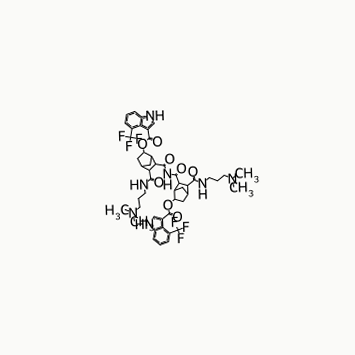 CN(C)CCCNC(=O)C1C2CC(OC(=O)c3c[nH]c4cccc(C(F)(F)F)c34)C(C2)C1C(=O)NC(=O)C1C2CC(CC2OC(=O)c2c[nH]c3cccc(C(F)(F)F)c23)C1C(=O)NCCCN(C)C